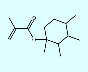 C=C(C)C(=O)OC1(C)CCC(C)C(C)C1C